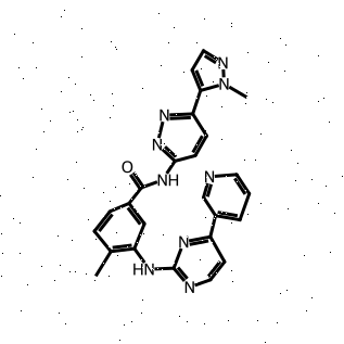 Cc1ccc(C(=O)Nc2ccc(-c3ccnn3C)nn2)cc1Nc1nccc(-c2cccnc2)n1